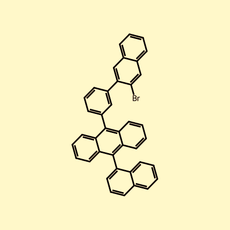 Brc1cc2ccccc2cc1-c1cccc(-c2c3ccccc3c(-c3cccc4ccccc34)c3ccccc23)c1